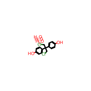 O.O.O.Oc1ccc(C(CCl)(CCl)c2ccc(O)cc2)cc1